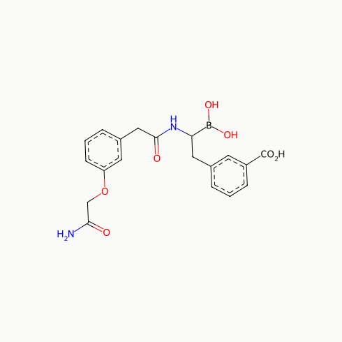 NC(=O)COc1cccc(CC(=O)NC(Cc2cccc(C(=O)O)c2)B(O)O)c1